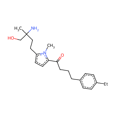 CCc1ccc(CCCC(=O)c2ccc(CCC(C)(N)CO)n2C)cc1